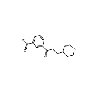 O=C(CCN1CCOCC1)c1cccc([N+](=O)[O-])c1